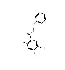 CC(=O)Nc1cc(C)c(C(=O)COc2ccccc2)cc1C